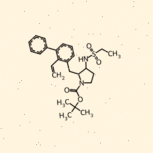 C=Cc1c(CC2C(NS(=O)(=O)CC)CCN2C(=O)OC(C)(C)C)cccc1-c1ccccc1